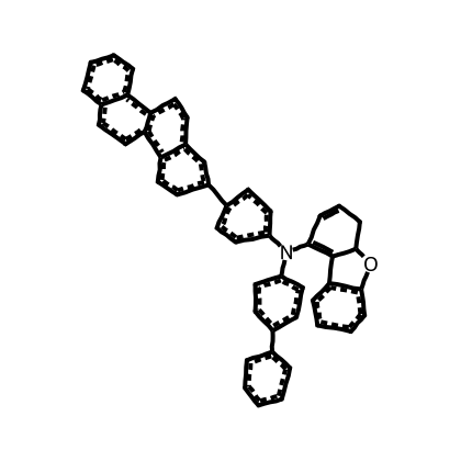 C1=CC(N(c2ccc(-c3ccccc3)cc2)c2ccc(-c3ccc4c(ccc5c6ccccc6ccc45)c3)cc2)=C2c3ccccc3OC2C1